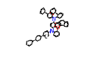 c1ccc(-c2ccc(-c3ccc(N(c4ccccc4-c4ccccc4)c4ccc(N(c5ccc(-c6ccccc6)cc5)c5ccccc5-c5ccccc5)c5c4oc4c6ccccc6ccc45)cc3)cc2)cc1